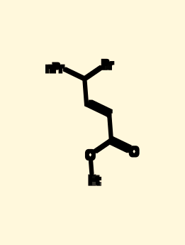 CCCC(Br)C=CC(=O)OCC